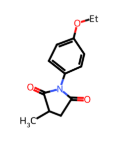 CCOc1ccc(N2C(=O)CC(C)C2=O)cc1